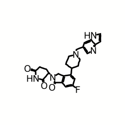 O=C1CCC(N2Cc3c(cc(F)cc3C3CCN(Cc4cnc5cc[nH]c5c4)CC3)C2=O)C(=O)N1